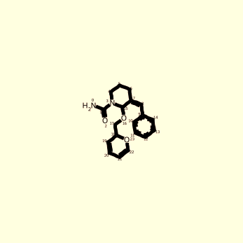 NC(=O)N1CCC/C(=C/c2ccccc2)C1OCC1C=CC=CO1